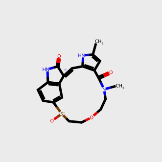 Cc1cc2c([nH]1)/C=C1\C(=O)Nc3ccc(cc31)[S+]([O-])CCOCCN(C)C2=O